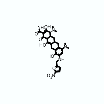 CN(C)c1cc(NCc2ccc([N+](=O)[O-])o2)c(O)c2c1CC1CC3C(C(=O)C(C(N)=O)=C(O)[C@@H]3N(C)C)C(O)=C1C2